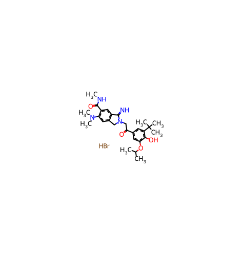 Br.CNC(=O)c1cc2c(cc1N(C)C)CN(CC(=O)c1cc(OC(C)C)c(O)c(C(C)(C)C)c1)C2=N